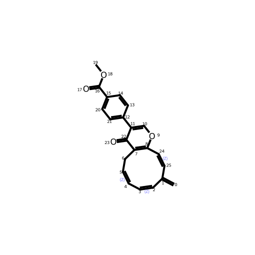 C=C1/C=C\C=C/Cc2c(occ(-c3ccc(C(=O)OC)cc3)c2=O)/C=C\1